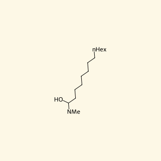 CCCCCCCCCCCCCC(O)NC